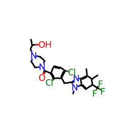 CC1=c2nc(Cc3c(Cl)ccc(C(=O)N4CCN(CC(C)O)CC4)c3Cl)n(C)c2=CC(C(F)(F)F)C1C